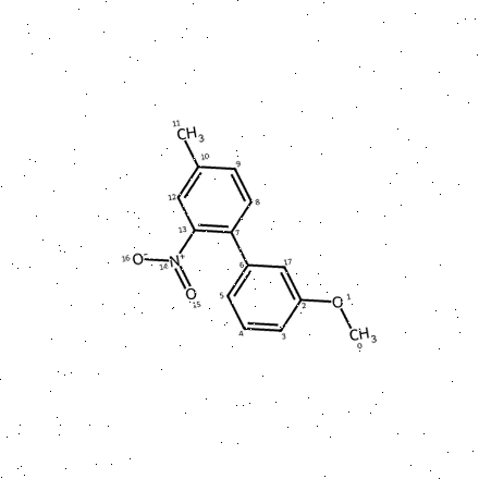 COc1cccc(-c2ccc(C)cc2[N+](=O)[O-])c1